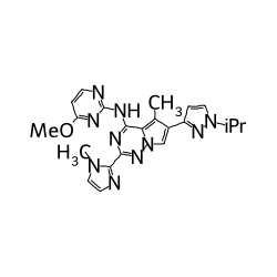 COc1ccnc(Nc2nc(-c3nccn3C)nn3cc(-c4ccn(C(C)C)n4)c(C)c23)n1